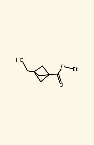 CCOC(=O)C12CC(CO)(C1)C2